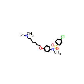 CC(C)N(C)CCCCCCOc1ccc(N(C)S(=O)(=O)c2ccc(Cl)cc2)cc1